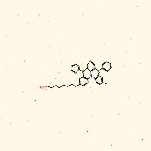 Cc1ccc2c(c1)B(c1ccccc1)c1cccc3c1N2c1ccc(CCCCCCCCO)cc1B3c1ccccc1